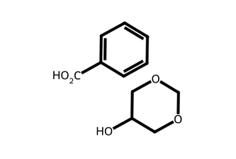 O=C(O)c1ccccc1.OC1COCOC1